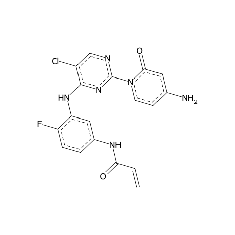 C=CC(=O)Nc1ccc(F)c(Nc2nc(-n3ccc(N)cc3=O)ncc2Cl)c1